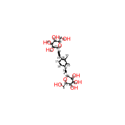 Cc1c(C#C[C@H]2O[C@H](CO)[C@@H](O)[C@H](O)[C@@H]2O)ccc(C#C[C@H]2O[C@H](CO)[C@@H](O)[C@H](O)[C@@H]2O)c1C